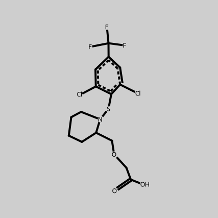 O=C(O)COCC1CCCCN1Sc1c(Cl)cc(C(F)(F)F)cc1Cl